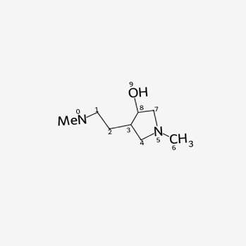 CNCCC1CN(C)CC1O